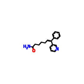 NC(=O)CCCCC=C(c1ccccc1)c1cccnc1